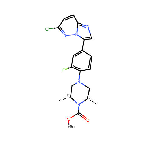 C[C@@H]1CN(c2ccc(-c3cnc4ccc(Cl)nn34)cc2F)C[C@H](C)N1C(=O)OC(C)(C)C